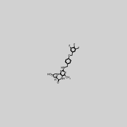 Cc1nc(NCc2ccc(OCc3cc(F)c(F)c(F)c3)cc2)nc2c1NC(=O)[C@@H]1C[C@@H](O)CN21